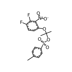 Cc1ccc(S(=O)(=O)OC(C)(C)Oc2ccc(F)c(F)c2[N+](=O)[O-])cc1